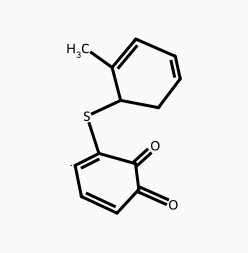 CC1=CC=CCC1SC1=[C]C=CC(=O)C1=O